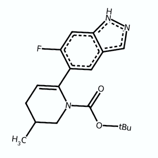 CC1CC=C(c2cc3cn[nH]c3cc2F)N(C(=O)OC(C)(C)C)C1